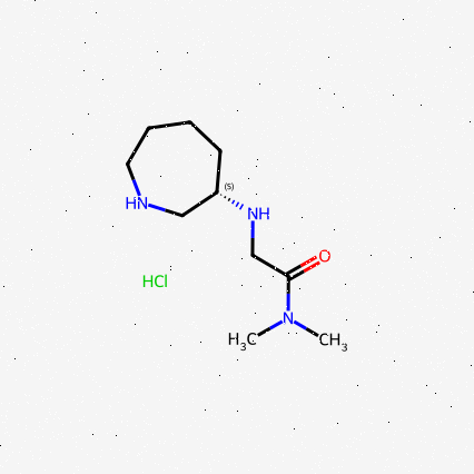 CN(C)C(=O)CN[C@H]1CCCCNC1.Cl